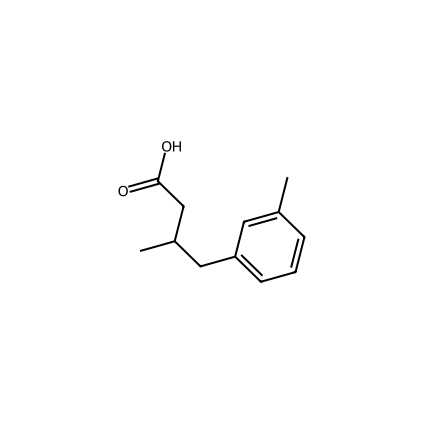 Cc1cccc(CC(C)CC(=O)O)c1